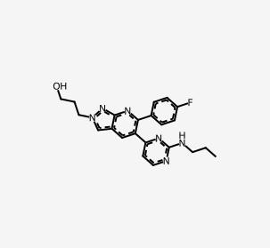 CCCNc1nccc(-c2cc3cn(CCCO)nc3nc2-c2ccc(F)cc2)n1